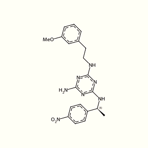 COc1cccc(CCNc2nc(N)nc(N[C@@H](C)c3ccc([N+](=O)[O-])cc3)n2)c1